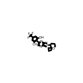 Cc1cc(C(F)(F)F)cc(O)c1-c1cnc2cn(C3CCCOC34CCC4)nc2n1